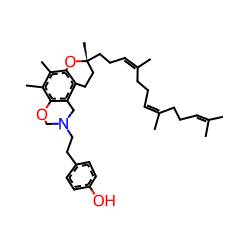 CC(C)=CCCC(C)=CCCC(C)=CCC[C@]1(C)CCc2c3c(c(C)c(C)c2O1)OCN(CCc1ccc(O)cc1)C3